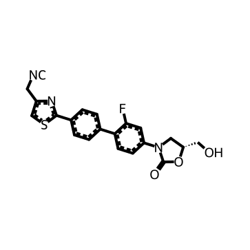 [C-]#[N+]Cc1csc(-c2ccc(-c3ccc(N4C[C@H](CO)OC4=O)cc3F)cc2)n1